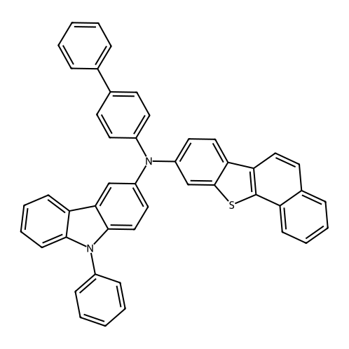 c1ccc(-c2ccc(N(c3ccc4c(c3)sc3c5ccccc5ccc43)c3ccc4c(c3)c3ccccc3n4-c3ccccc3)cc2)cc1